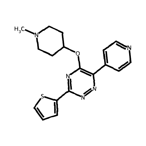 CN1CCC(Oc2nc(-c3cccs3)nnc2-c2ccncc2)CC1